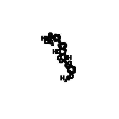 CNS(=O)(=O)c1cccc(-c2ccc(C[C@H](NC(=O)c3cc4cc(OC)ccc4o3)C(=O)O)cc2)c1